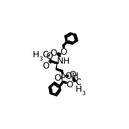 COC(=O)[C@H](CCP(=O)(O)C(OC(C)=O)c1ccccc1)NC(=O)OCc1ccccc1